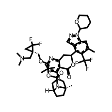 Cc1cc2c(cnn2C2CCCCO2)c(C2Cc3nc(OC[C@]4(CN(C)C)CC4(F)F)nc(N4C[C@H]5CC[C@](C)(C4)N5C(=O)OC(C)(C)C)c3C(=O)O2)c1C(F)(F)F